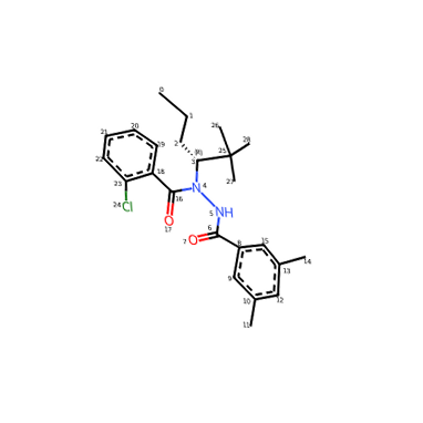 CCC[C@@H](N(NC(=O)c1cc(C)cc(C)c1)C(=O)c1ccccc1Cl)C(C)(C)C